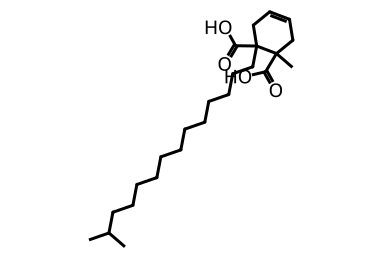 CC(C)CCCCCCCCCCCCC1(C(=O)O)CC=CCC1(C)C(=O)O